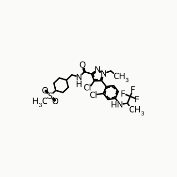 CCn1nc(C(=O)NCC2CCC(S(C)(=O)=O)CC2)c(Cl)c1-c1ccc(NC(C)C(F)(F)F)cc1Cl